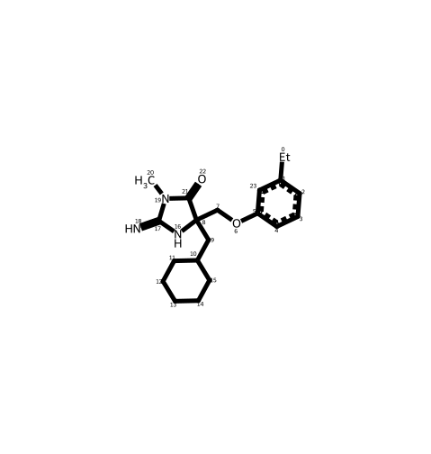 CCc1cccc(OCC2(CC3CCCCC3)NC(=N)N(C)C2=O)c1